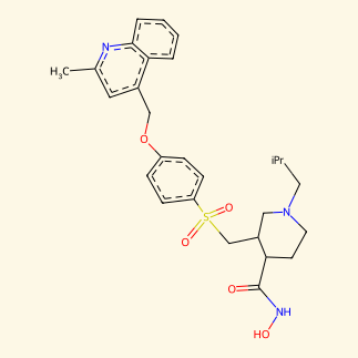 Cc1cc(COc2ccc(S(=O)(=O)CC3CN(CC(C)C)CCC3C(=O)NO)cc2)c2ccccc2n1